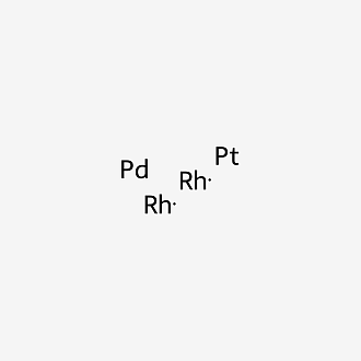 [Pd].[Pt].[Rh].[Rh]